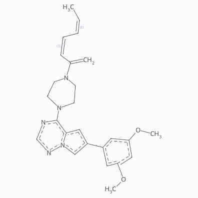 C=C(/C=C\C=C/C)N1CCN(c2ncnn3cc(-c4cc(OC)cc(OC)c4)cc23)CC1